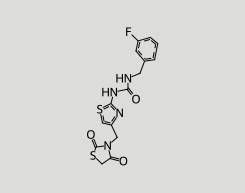 O=C(NCc1cccc(F)c1)Nc1nc(CN2C(=O)CSC2=O)cs1